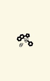 C1=CCC(c2ccc3ccccc3[c]2[Ti+2][O]Cc2ccccc2)=C1.[Cl-].[Cl-]